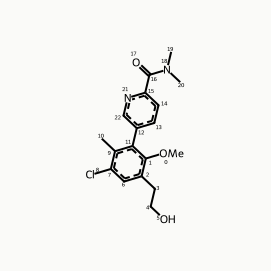 COc1c(CCO)cc(Cl)c(C)c1-c1ccc(C(=O)N(C)C)nc1